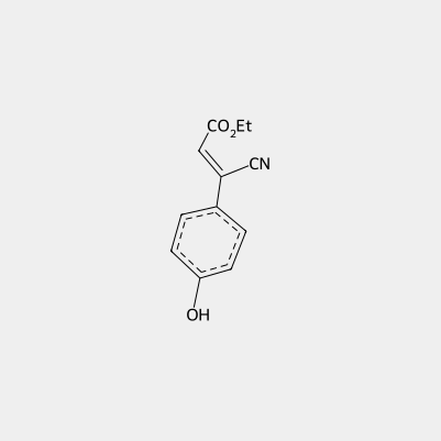 CCOC(=O)C=C(C#N)c1ccc(O)cc1